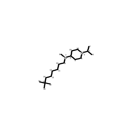 CC(C)N1CCC(N(C)CCCCCCC(C)(C)C)CC1